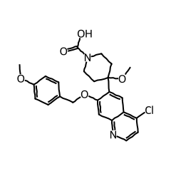 COc1ccc(COc2cc3nccc(Cl)c3cc2C2(OC)CCN(C(=O)O)CC2)cc1